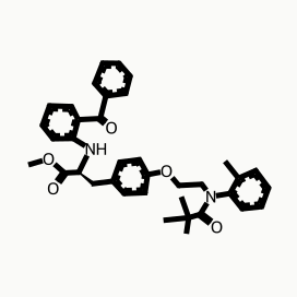 COC(=O)[C@H](Cc1ccc(OCCN(C(=O)C(C)(C)C)c2ccccc2C)cc1)Nc1ccccc1C(=O)c1ccccc1